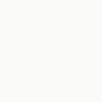 Brc1ccsc1.CCC=O